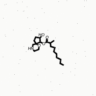 CCCCCCCCC(C)C(=O)OC1C(O)CCC12CNCCO2